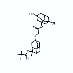 CC(F)(F)C(=O)OC1(C)C2CC3CC1CC(OCC(=O)OC14CC5CC(O)(CC(O)(C5)C1)C4)(C3)C2